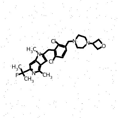 Cc1nc(C(C)(C)F)cc2c1cc(Cc1c(Cl)ccc(CN3CCN(C4COC4)CC3)c1Cl)n2C